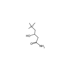 C[N+](C)(C)CC(O)CC(N)=O